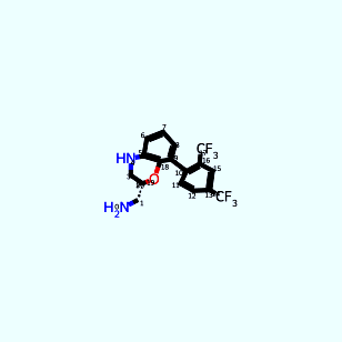 NC[C@@H]1CNc2cccc(-c3ccc(C(F)(F)F)cc3C(F)(F)F)c2O1